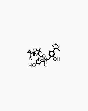 Cc1ncsc1-c1ccc(CNC(=O)C2CC(O)CN2C(=O)C(NC(=O)C2(C#N)CC2)C(C)(C)C)c(O)c1